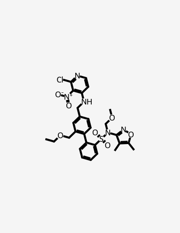 CCOCc1cc(CNc2ccnc(Cl)c2[N+](=O)[O-])ccc1-c1ccccc1S(=O)(=O)N(COC)c1noc(C)c1C